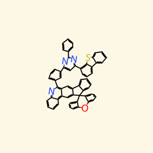 c1ccc(-c2nc(-c3cccc(-c4nc5ccccc5c5cc6c(cc45)-c4ccccc4C64c5ccccc5Oc5ccccc54)c3)cc(-c3cccc4c3sc3ccccc34)n2)cc1